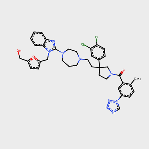 COc1ccc(-n2cnnn2)cc1C(=O)N1CCC(CCN2CCCN(c3nc4ccccc4n3Cc3ccc(CO)o3)CC2)(c2ccc(Cl)c(Cl)c2)C1